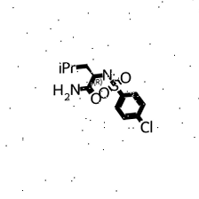 CC(C)C[C@@H]([N]S(=O)(=O)c1ccc(Cl)cc1)C(N)=O